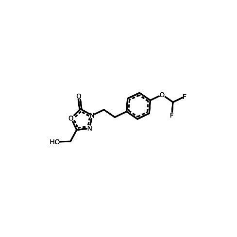 O=c1oc(CO)nn1CCc1ccc(OC(F)F)cc1